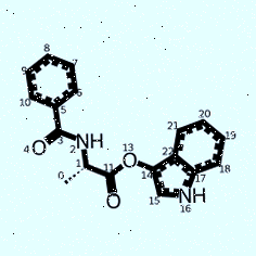 C[C@H](NC(=O)c1ccccc1)C(=O)Oc1c[nH]c2ccccc12